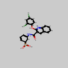 O=C(NC1=CC=CC(=S(=O)=O)C1)c1cc2ccccc2nc1Oc1ccc(F)cc1F